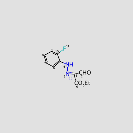 CCOC(=O)/C(C=O)=N/Nc1ccccc1F